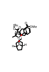 COC(=O)N1CCc2c(nc(C)n2[C@H]2C[C@H]3CC[C@@H](C2)N3CC[C@H](NC(=O)OC(C)(C)C)c2ccccc2)C1